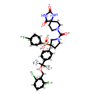 O=C1NC(=O)C2(CCN(C(=O)N3CC[C@](c4ccc(C(OCc5c(F)cccc5F)(C(F)(F)F)C(F)(F)F)cc4)(S(=O)(=O)c4ccc(F)cc4)C3)CC2)N1